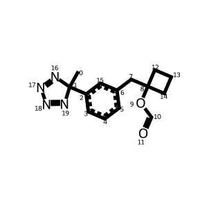 CC1(c2cccc(CC3(OC=O)CCC3)c2)N=NN=N1